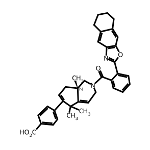 CC1(C)C(c2ccc(C(=O)O)cc2)=CC[C@]2(C)CN(C(=O)c3ccccc3-c3nc4cc5c(cc4o3)CCCC5)CC=C12